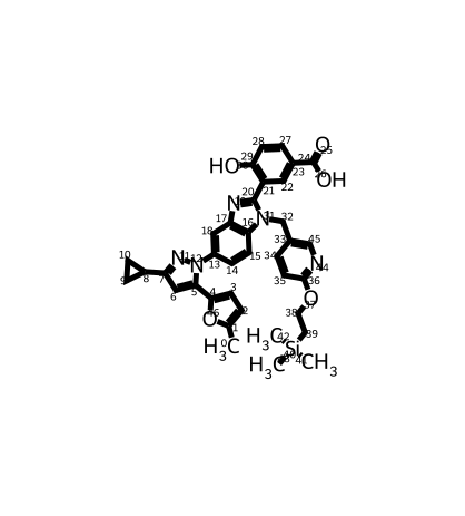 Cc1ccc(-c2cc(C3CC3)nn2-c2ccc3c(c2)nc(-c2cc(C(=O)O)ccc2O)n3Cc2ccc(OCC[Si](C)(C)C)nc2)o1